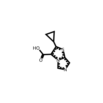 O=C(O)c1c(C2CC2)sc2cncn12